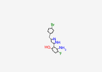 Nc1c(F)ccc(O)c1-c1cc(Cc2ccc(Br)cc2)n[nH]1